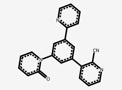 N#Cc1ncccc1-c1cc(-c2ccccn2)cc(-n2ccccc2=O)c1